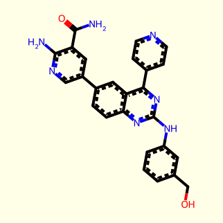 NC(=O)c1cc(-c2ccc3nc(Nc4cccc(CO)c4)nc(-c4ccncc4)c3c2)cnc1N